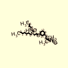 CCCCCCCN(CCO[C@H]1CCC[C@@H](CCC(C)(C)CN=C=O)C1)C(=O)NCCCC